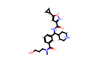 CN(CCCO)C(=O)c1cccc(C(NC(=O)c2cc(C3CC3)on2)C2CCNCC2)c1